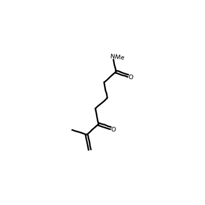 C=C(C)C(=O)CCCC(=O)NC